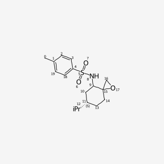 Cc1ccc(S(=O)(=O)NC2C[C@@H](C(C)C)CCC23CO3)cc1